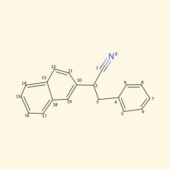 N#CC(Cc1ccccc1)c1ccc2ccccc2c1